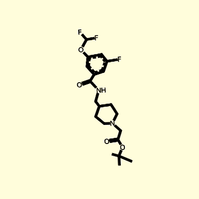 CC(C)(C)OC(=O)CN1CCC(CNC(=O)c2cc(F)cc(OC(F)F)c2)CC1